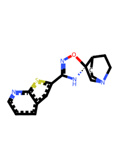 c1cnc2sc(C3=NO[C@@]4(CN5CCC4CC5)N3)cc2c1